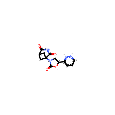 O=C1NC(=O)C2(N3CC(c4cccnn4)OC3=O)CC1C2